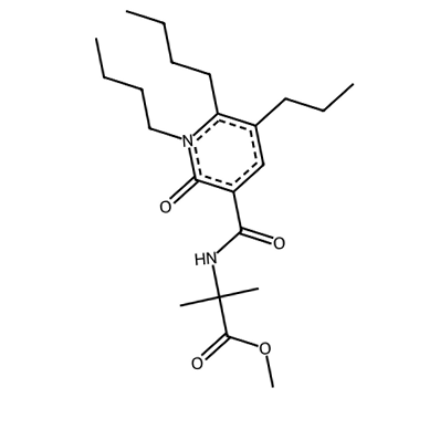 CCCCc1c(CCC)cc(C(=O)NC(C)(C)C(=O)OC)c(=O)n1CCCC